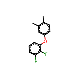 Cc1ccc(Oc2cccc(F)c2F)cc1C